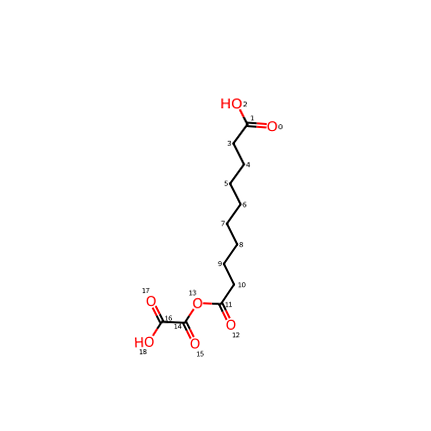 O=C(O)CCCCCCCCC(=O)OC(=O)C(=O)O